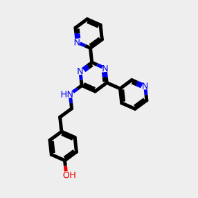 Oc1ccc(CCNc2cc(-c3cccnc3)nc(-c3ccccn3)n2)cc1